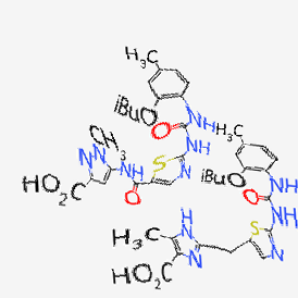 Cc1ccc(NC(=O)Nc2ncc(C(=O)Nc3cc(C(=O)O)nn3C)s2)c(OCC(C)C)c1.Cc1ccc(NC(=O)Nc2ncc(CCc3nc(C(=O)O)c(C)[nH]3)s2)c(OCC(C)C)c1